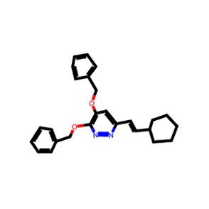 C(=C\C1CCCCC1)/c1cc(OCc2ccccc2)c(OCc2ccccc2)nn1